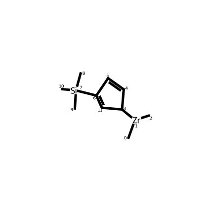 [CH3][Zr]([CH3])[CH]1C=CC([Si](C)(C)C)=C1